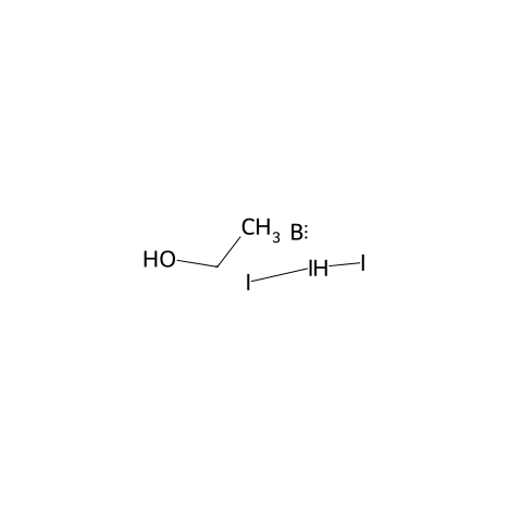 CCO.I[IH]I.[B]